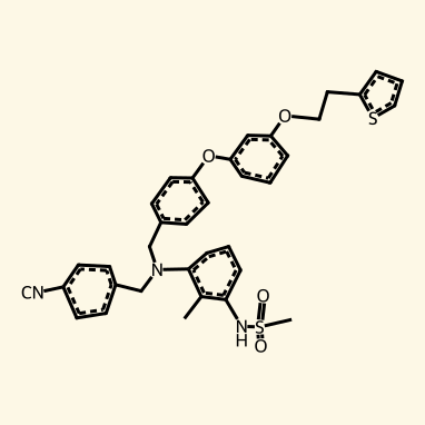 [C-]#[N+]c1ccc(CN(Cc2ccc(Oc3cccc(OCCc4cccs4)c3)cc2)c2cccc(NS(C)(=O)=O)c2C)cc1